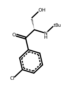 CC(C)(C)N[C@@H](CO)C(=O)c1cccc(Cl)c1